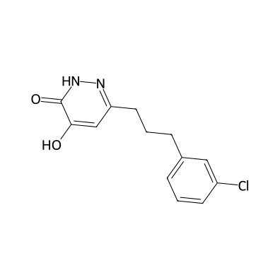 O=c1[nH]nc(CCCc2cccc(Cl)c2)cc1O